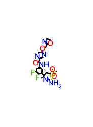 C[C@@H]1[C@@](C)(S(C)(=O)=O)SC(N)=N[C@]1(C)c1cc(NC(=O)c2cnc(OCc3ncco3)cn2)cc(F)c1F